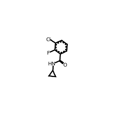 O=C(NC1CC1)c1cccc(Cl)c1F